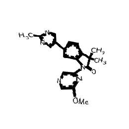 COc1cncc(N2C(=O)C(C)(C)c3ccc(-c4cnc(C)nc4)cc32)n1